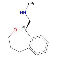 CCCNC[C@@H]1OCCCc2ccccc21